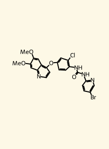 COc1cc2nccc(Oc3ccc(NC(=O)Nc4ccc(Br)cn4)c(Cl)c3)c2cc1OC